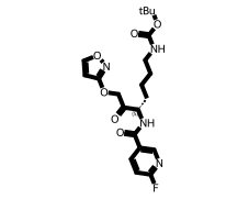 CC(C)(C)OC(=O)NCCCC[C@H](NC(=O)c1ccc(F)nc1)C(=O)COc1ccon1